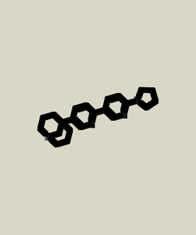 c1cc(N2CCCC2)ncc1-c1ccc(C23CCCN(CCC2)C3)cn1